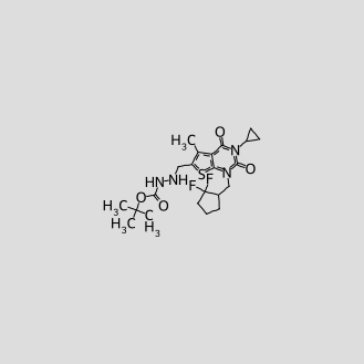 Cc1c(CNNC(=O)OC(C)(C)C)sc2c1c(=O)n(C1CC1)c(=O)n2CC1CCCC1(F)F